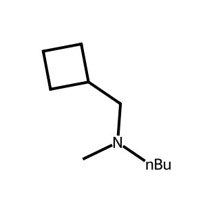 CCCCN(C)CC1CCC1